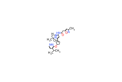 Cc1cc(CC(=O)Nc2cc([C@H]3CC[C@@H](Oc4nnccc4C(C)C)C3)n(C(C)(C)C)n2)on1